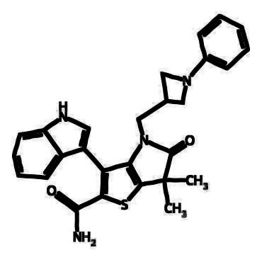 CC1(C)C(=O)N(CC2CN(c3ccccc3)C2)c2c1sc(C(N)=O)c2-c1c[nH]c2ccccc12